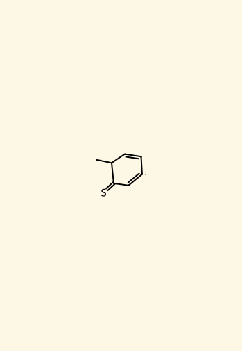 CC1C=C[C]=CC1=S